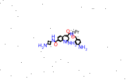 CCCN(OCc1ccc(N)cc1)C(=O)C1=Cc2ccc(C(=O)N[C@H]3C[C@@H](N)C3)cc2N=C(N)C1